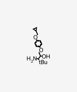 CC(C)(C)C(N)C(O)COc1ccc(OCC2CC2)cc1